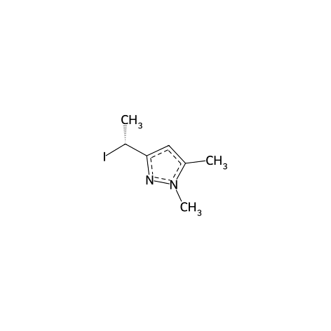 Cc1cc([C@@H](C)I)nn1C